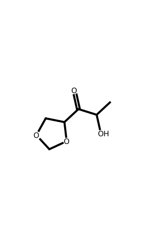 CC(O)C(=O)C1COCO1